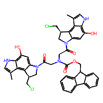 Cc1c[nH]c2c(O)cc3c(c12)C(CCl)CN3C(=O)CN(CC(=O)N1C[C@@H](CCl)c2c1cc(O)c1[nH]cc(C)c21)C(=O)OCC1c2ccccc2-c2ccccc21